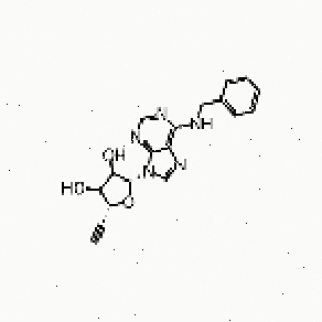 C#C[C@H]1O[C@@H](n2cnc3c(NCc4ccccc4)ncnc32)[C@H](O)[C@@H]1O